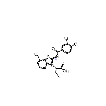 CCC(C(=O)O)n1/c(=N/C(=O)c2ccc(Cl)c(Cl)c2)sc2c(Cl)cccc21